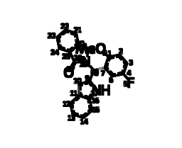 COc1ccc(F)cc1[C@H](c1cc2ccccc2[nH]1)N1Cc2ccccc2C1=O